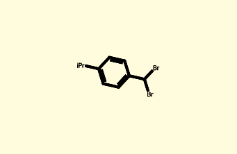 CC(C)c1ccc(C(Br)Br)cc1